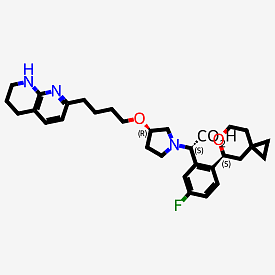 O=C(O)[C@H](c1cc(F)ccc1[C@@H]1CC2(CCO1)CC2)N1CC[C@@H](OCCCCc2ccc3c(n2)NCCC3)C1